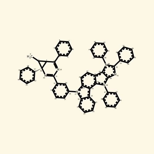 CC1C2C(c3ccccc3)=NC(c3cccc(-n4c5ccccc5c5c4ccc4c6c(nc(-c7ccccc7)n6-c6ccccc6)n(-c6ccccc6)c45)c3)=N[C@@]12c1ccccc1